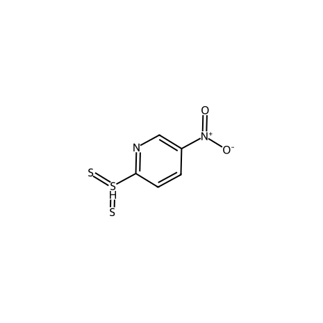 O=[N+]([O-])c1ccc([SH](=S)=S)nc1